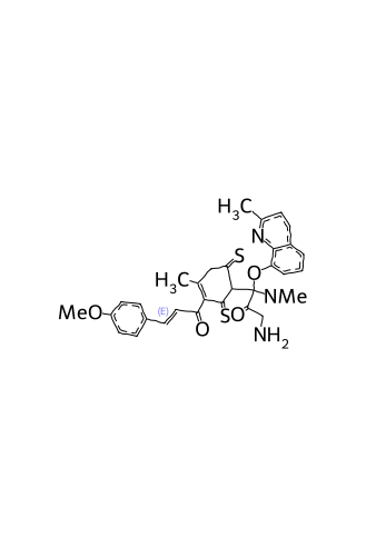 CNC(Oc1cccc2ccc(C)nc12)(C(=O)CN)C1C(=S)CC(C)=C(C(=O)/C=C/c2ccc(OC)cc2)C1=S